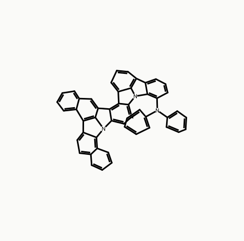 c1ccc(N(c2ccccc2)c2cccc3c4cccc5c6c7c8cc9ccccc9c9c%10ccc%11ccccc%11c%10n(c7cnc6n(c23)c45)c89)cc1